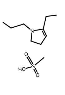 CCCN1CCC=C1CC.CS(=O)(=O)O